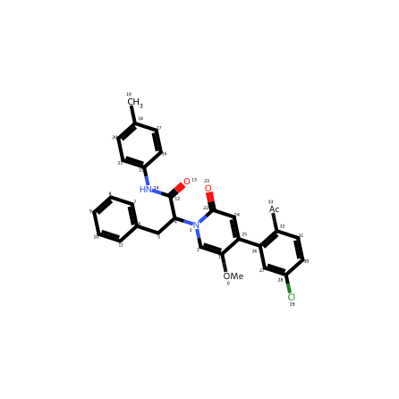 COc1cn(C(Cc2ccccc2)C(=O)Nc2ccc(C)cc2)c(=O)cc1-c1cc(Cl)ccc1C(C)=O